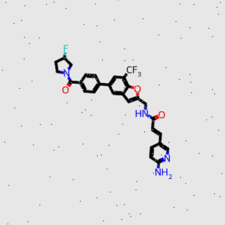 Nc1ccc(C=CC(=O)NCc2cc3cc(-c4ccc(C(=O)N5CCC(F)C5)cc4)cc(C(F)(F)F)c3o2)cn1